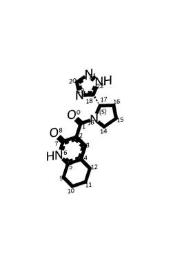 O=C(c1cc2c([nH]c1=O)CCCC2)N1CCC[C@H]1c1ncn[nH]1